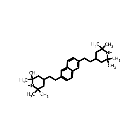 CC1(C)CC(CCc2ccc3cc(CCC4CC(C)(C)NC(C)(C)C4)ccc3c2)CC(C)(C)N1